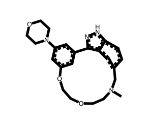 CN1CCOCCOc2cc(cc(N3CCOCC3)c2)-c2n[nH]c3ccc(cc23)C1